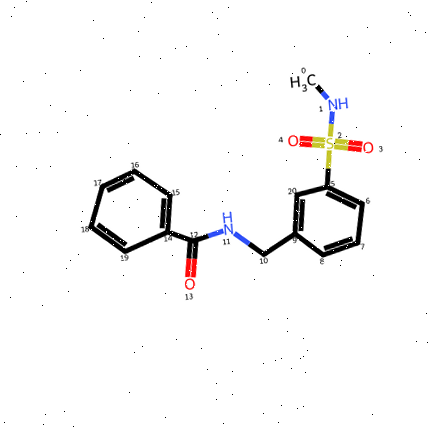 CNS(=O)(=O)c1cccc(CNC(=O)c2ccccc2)c1